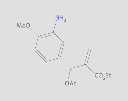 C=C(C(=O)OCC)C(OC(C)=O)c1ccc(OC)c(N)c1